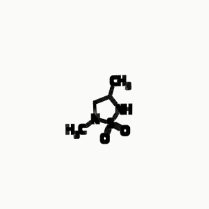 CC1CN(C)S(=O)(=O)N1